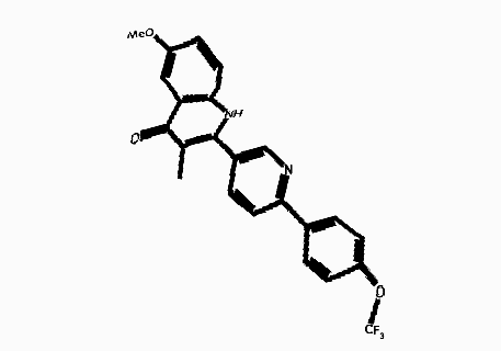 COc1ccc2[nH]c(-c3ccc(-c4ccc(OC(F)(F)F)cc4)nc3)c(C)c(=O)c2c1